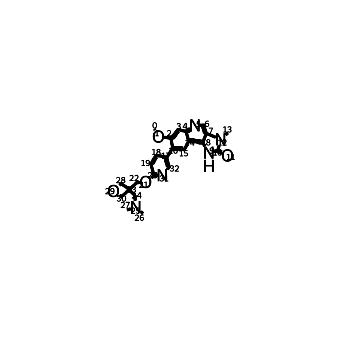 COc1cc2ncc3c([nH]c(=O)n3C)c2cc1-c1ccc(OCC2(CN(C)C)COC2)nc1